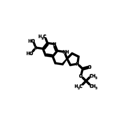 Cc1nc2c(cc1B(O)O)CC[C@]1(CCN(C(=O)OC(C)(C)C)C1)N2